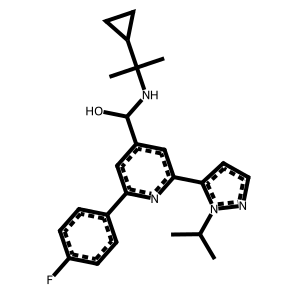 CC(C)n1nccc1-c1cc(C(O)NC(C)(C)C2CC2)cc(-c2ccc(F)cc2)n1